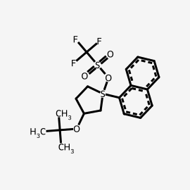 CC(C)(C)OC1CCS(OS(=O)(=O)C(F)(F)F)(c2cccc3ccccc23)C1